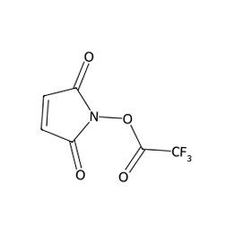 O=C1C=CC(=O)N1OC(=O)C(F)(F)F